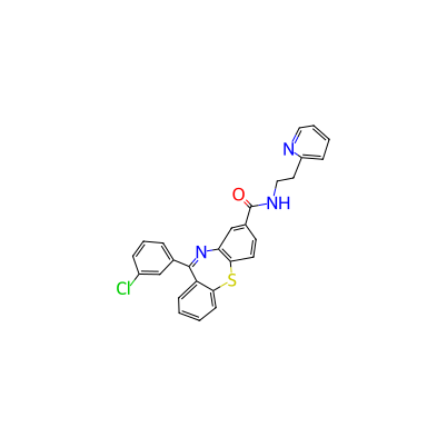 O=C(NCCc1ccccn1)c1ccc2c(c1)N=C(c1cccc(Cl)c1)c1ccccc1S2